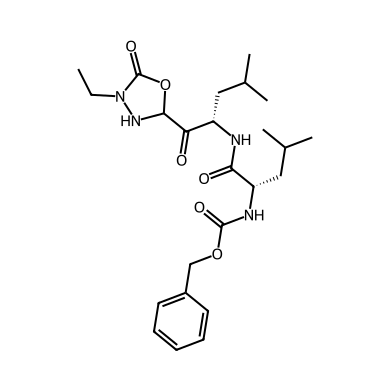 CCN1NC(C(=O)[C@H](CC(C)C)NC(=O)[C@H](CC(C)C)NC(=O)OCc2ccccc2)OC1=O